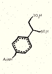 CC(=O)Nc1ccc(C(CS(=O)(=O)O)S(=O)(=O)O)cc1